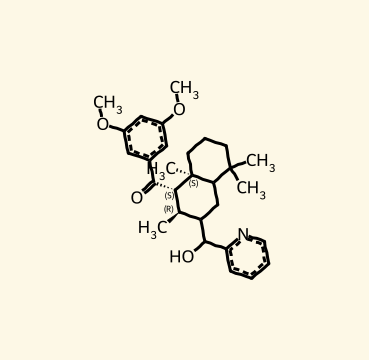 COc1cc(OC)cc(C(=O)[C@H]2[C@H](C)C(C(O)c3ccccn3)CC3C(C)(C)CCC[C@@]32C)c1